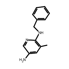 Cc1cc(N)cnc1NCc1ccccc1